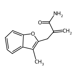 C=C(Cc1oc2ccccc2c1C)C(N)=O